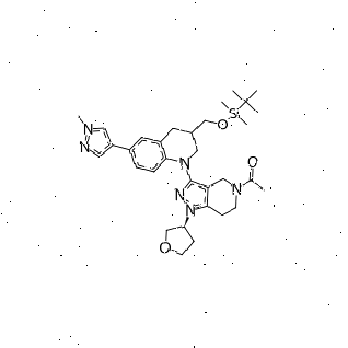 CC(=O)N1CCc2c(c(N3CC(CO[Si](C)(C)C(C)(C)C)Cc4cc(-c5cnn(C)c5)ccc43)nn2[C@H]2CCOC2)C1